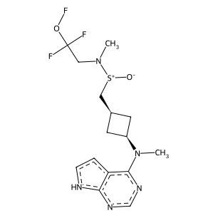 CN(CC(F)(F)OF)[S+]([O-])C[C@H]1C[C@@H](N(C)c2ncnc3[nH]ccc23)C1